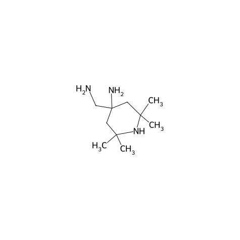 CC1(C)CC(N)(CN)CC(C)(C)N1